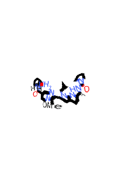 COc1cc(C(=O)N2CC3CC[C@@H]2[C@@H]3N)cc2nc(-c3cc4ccc([C@@H](C)NC(=O)N5CCCC5)nc4n3CC3CC3)c(C)n12